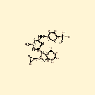 [O-][n+]1cc(Nc2ccc(C(F)(F)F)cc2)nc(-n2c(C3CC3)nc3ccccc32)n1